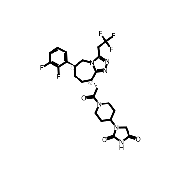 O=C1CN(C2CCN(C(=O)C[C@@H]3CC[C@@H](c4cccc(F)c4F)Cn4c(CC(F)(F)F)nnc43)CC2)C(=O)N1